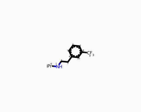 CC(C)NCCc1cccc(C(F)(F)F)c1